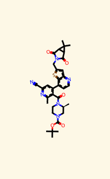 Cc1nc(C#N)cc(-c2ccnc3cc(CN4C(=O)C5C(C4=O)C5(C)C)sc23)c1C(=O)N1CCN(C(=O)OC(C)(C)C)C[C@@H]1C